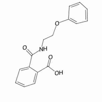 O=C(O)c1ccccc1C(=O)NCCOc1ccccc1